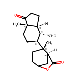 C[C@]1([C@H]2CC[C@]3(C)C(=O)CC[C@H]3[C@@H]2C=O)CCC2C[C@@H]1C(=O)O2